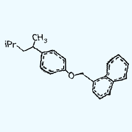 CC(C)CC(C)c1ccc(OCc2cccc3ccccc23)cc1